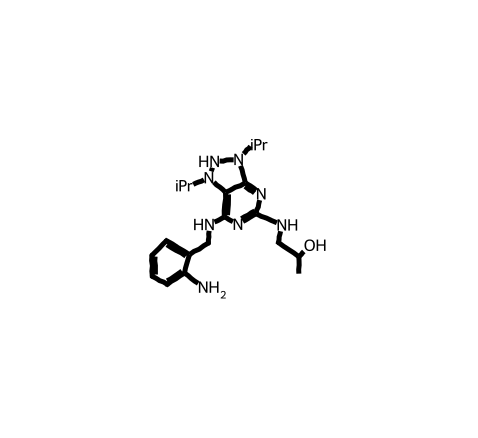 CC(O)CNc1nc(NCc2ccccc2N)c2c(n1)N(C(C)C)NN2C(C)C